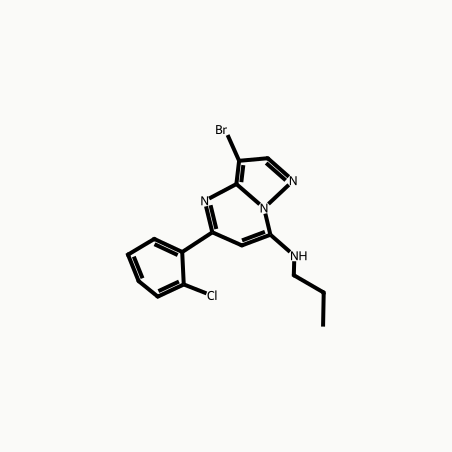 CCCNc1cc(-c2ccccc2Cl)nc2c(Br)cnn12